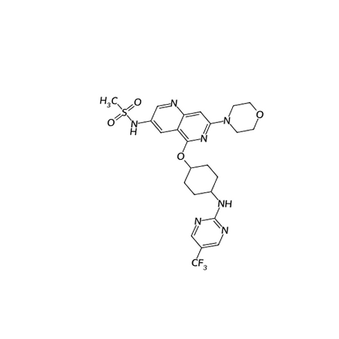 CS(=O)(=O)Nc1cnc2cc(N3CCOCC3)nc(OC3CCC(Nc4ncc(C(F)(F)F)cn4)CC3)c2c1